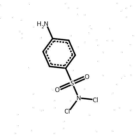 Nc1ccc(S(=O)(=O)N(Cl)Cl)cc1